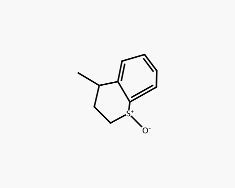 CC1CC[S+]([O-])c2ccccc21